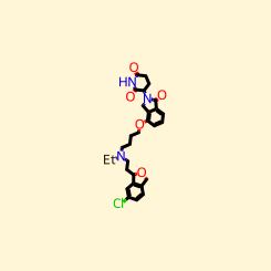 CCN(CCCCOc1cccc2c1CN(C1CCC(=O)NC1=O)C2=O)CCC1OCc2ccc(Cl)cc21